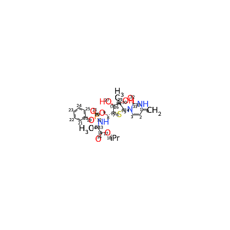 C=C1C=CN([C@@H]2S[C@H](CO[P@](=O)(N[C@@H](C)C(=O)OC(C)C)Oc3ccccc3)[C@@H](O)[C@@]2(C)O)C(=O)N1